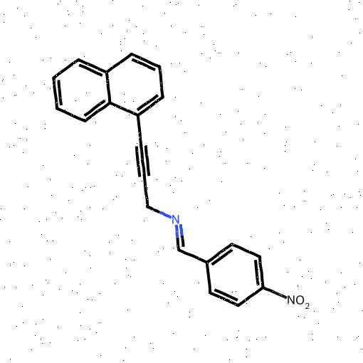 O=[N+]([O-])c1ccc(C=NCC#Cc2cccc3ccccc23)cc1